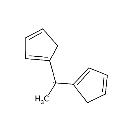 C[C](C1=CC=CC1)C1=CC=CC1